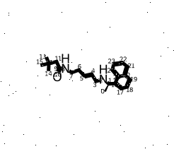 C[C@@H](NC/C=C/CCNC(=O)CC(C)(C)C)c1cccc2ccccc12